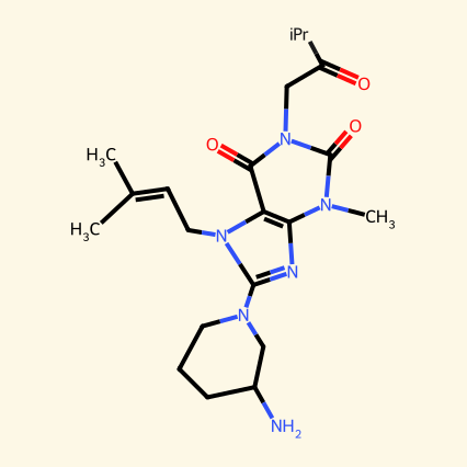 CC(C)=CCn1c(N2CCCC(N)C2)nc2c1c(=O)n(CC(=O)C(C)C)c(=O)n2C